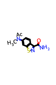 CC(=O)N(C)c1ccc2c(C(N)=O)nsc2c1